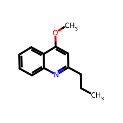 CCCc1cc(OC)c2ccccc2n1